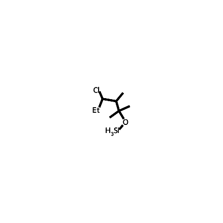 CCC(Cl)C(C)C(C)(C)O[SiH3]